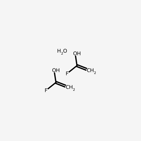 C=C(O)F.C=C(O)F.O